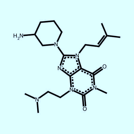 CC(C)=CCn1c(N2CCCC(N)C2)nc2c1c(=O)n(C)c(=O)n2CCN(C)C